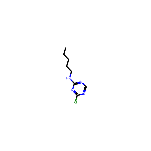 CCCCCNc1n[c]nc(Cl)n1